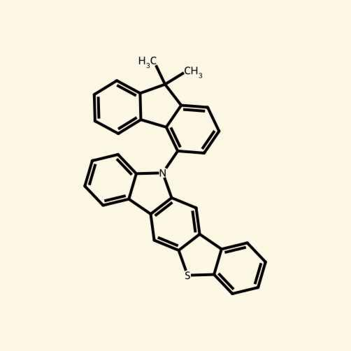 CC1(C)c2ccccc2-c2c(-n3c4ccccc4c4cc5sc6ccccc6c5cc43)cccc21